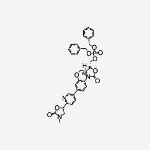 CN1CC(c2ccc(-c3ccc4c(c3)OC[C@H]3[C@H](COP(=O)(OCc5ccccc5)OCc5ccccc5)OC(=O)N43)cn2)OC1=O